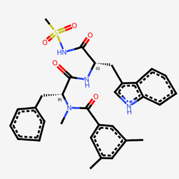 Cc1cc(C)cc(C(=O)N(C)[C@H](Cc2ccccc2)C(=O)N[C@@H](Cc2c[nH]c3ccccc23)C(=O)NS(C)(=O)=O)c1